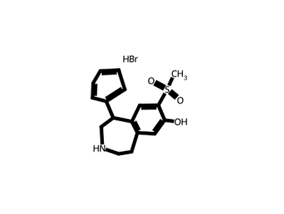 Br.CS(=O)(=O)c1cc2c(cc1O)CCNCC2c1ccccc1